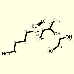 C=C.CC(O)CO.OCCCCO.OCCO